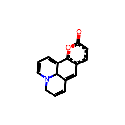 O=c1ccc2c(o1)C1=CC=CN3CC=CC(=C2)C13